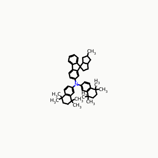 CC1CC2CCC3(c4ccccc4-c4ccc(N(c5ccc6c(c5)C(C)(C)CCC6(C)C)c5ccc6c(c5)C(C)(C)CCC6(C)C)cc43)C2C1